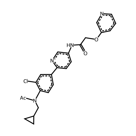 CC(=O)N(CC1CC1)c1ccc(-c2ccc(NC(=O)COc3cccnc3)cn2)cc1Cl